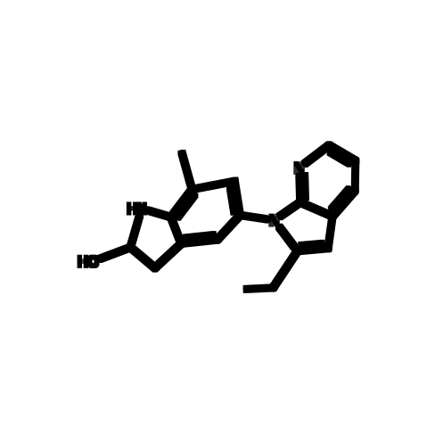 CCc1cc2cccnc2n1-c1cc(C)c2c(c1)CC(O)N2